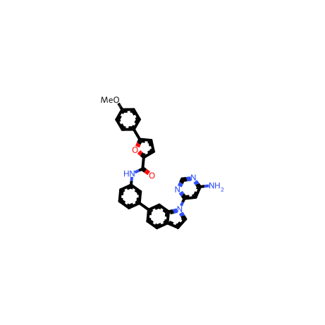 COc1ccc(-c2ccc(C(=O)Nc3cccc(-c4ccc5ccn(-c6cc(N)ncn6)c5c4)c3)o2)cc1